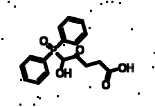 O=C(O)CCC(=O)C(O)P(=O)(c1ccccc1)c1ccccc1